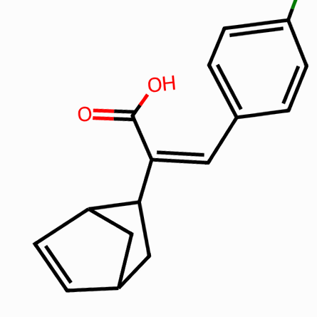 O=C(O)C(=Cc1ccc(F)cc1)C1CC2C=CC1C2